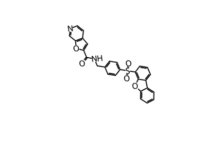 O=C(NCc1ccc(S(=O)(=O)c2cccc3c2oc2ccccc23)cc1)c1cc2ccncc2o1